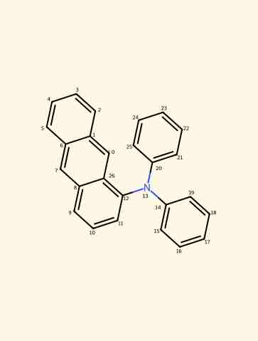 [c]1c2ccccc2cc2cccc(N(c3ccccc3)c3ccccc3)c12